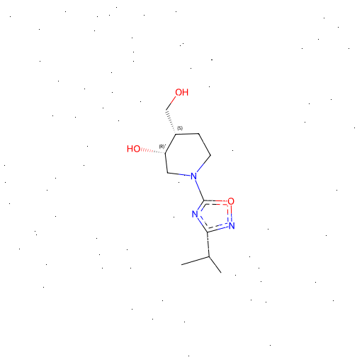 CC(C)c1noc(N2CC[C@@H](CO)[C@@H](O)C2)n1